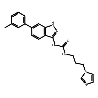 Cc1cccc(-c2ccc3c(NC(=O)NCCCn4ccnc4)n[nH]c3c2)c1